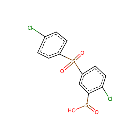 O=S(O)c1cc(S(=O)(=O)c2ccc(Cl)cc2)ccc1Cl